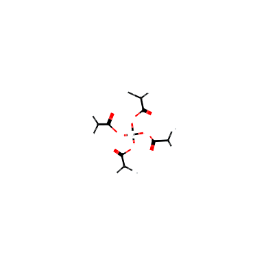 CCCCC(CC)C(=O)O[Si](OC(=O)C(CC)CCCC)(OC(=O)C(CC)CCCC)OC(=O)C(CC)CCCC